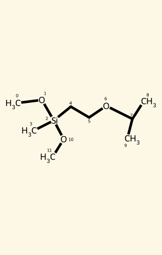 CO[Si](C)(CCOC(C)C)OC